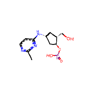 Cc1nccc(N[C@@H]2C[C@H](CO)[C@@H](O[PH](=O)O)C2)n1